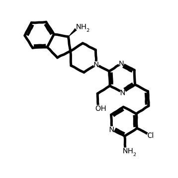 Nc1nccc(/C=C\c2cnc(N3CCC4(CC3)Cc3ccccc3[C@H]4N)c(CO)n2)c1Cl